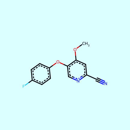 COc1cc(C#N)ncc1Oc1ccc(F)cc1